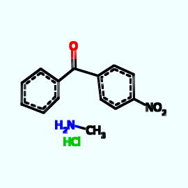 CN.Cl.O=C(c1ccccc1)c1ccc([N+](=O)[O-])cc1